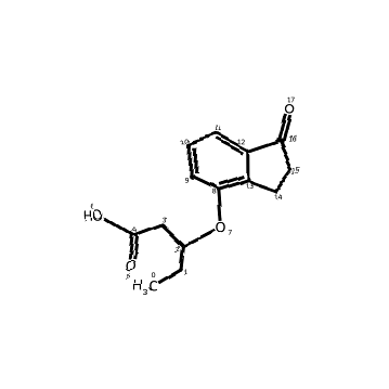 CCC(CC(=O)O)Oc1cccc2c1CCC2=O